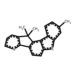 Cc1ccc2c(c1)sc1ccc3c(c12)C(C)(C)c1cccnc1-3